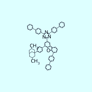 CC1CC2CC(C)CC(c3ccc(-c4cc(-c5nc(-c6ccc(-c7ccccc7)cc6)nc(-c6ccc(-c7ccccc7)cc6)n5)cc5c4oc4c(-c6ccc(-c7ccccc7)cc6)cccc45)cc3)(C1)C2